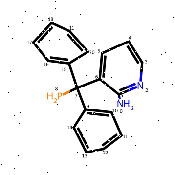 Nc1ncccc1C(P)(c1ccccc1)c1ccccc1